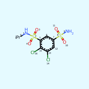 CC(C)NS(=O)(=O)c1cc(S(N)(=O)=O)cc(Cl)c1Cl